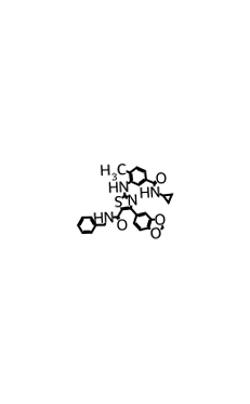 Cc1ccc(C(=O)NC2CC2)cc1Nc1nc(-c2ccc3c(c2)OCO3)c(C(=O)NCc2ccccc2)s1